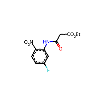 CCOC(=O)CC(=O)Nc1cc(F)ccc1[N+](=O)[O-]